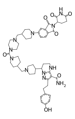 NC(=O)c1c(CCc2ccc(O)cc2)nn2c1NCCC2C1CCN(CC2CCN(C(=O)N3CCN(CC4CCN(c5ccc6c(c5)C(=O)N(C5CCC(=O)NC5=O)C6=O)CC4)CC3)CC2)CC1